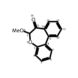 COC1Oc2ccccc2-c2ccccc2C1=O